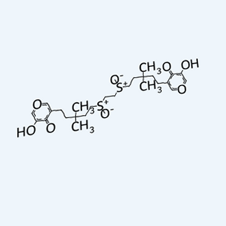 CC(C)(CCc1cocc(O)c1=O)CC[S+]([O-])CC[S+]([O-])CCC(C)(C)CCc1cocc(O)c1=O